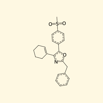 CS(=O)(=O)c1ccc(-c2oc(Cc3ccccc3)nc2C2=CCCCC2)cc1